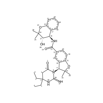 CCC1(CC)CC(=O)N([C@H]2c3cc(C(=O)N[C@@H]4c5ccccc5OC(C)(C)[C@H]4O)ccc3OC2(C)C)C(=N)N1